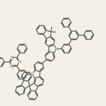 CC1(C)c2ccccc2-c2cc3c4cc(-c5ccc6c(c5)c5ccc7c(c5n6-c5cccc(-c6nc(-c8ccccc8)nc(-c8ccccc8)n6)c5)C5(c6ccccc6-c6ccccc65)c5ccccc5-7)ccc4n(-c4cccc(-c5cc(-c6ccccc6)cc(-c6ccccc6)c5)c4)c3cc21